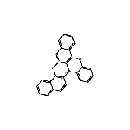 S=P12c3ccccc3Oc3c1c(cc1ccccc31)Oc1c2ccc2ccccc12